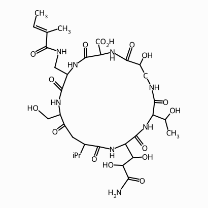 C/C=C(\C)C(=O)NCC1NC(=O)C(C(=O)O)NC(=O)C(O)CNC(=O)C(C(C)O)NC(=O)C(C(O)C(O)C(N)=O)NC(=O)C(C(C)C)CC(=O)C(CO)NC1=O